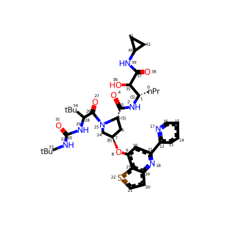 CCC[C@H](NC(=O)[C@@H]1C[C@@H](Oc2cc(-c3ccccn3)nc3ccsc23)CN1C(=O)C(NC(=O)NC(C)(C)C)C(C)(C)C)C(O)C(=O)NC1CC1